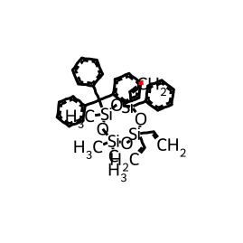 C=C[Si]1(C=C)O[Si](C)(C)O[Si](C)(C(c2ccccc2)(c2ccccc2)c2ccccc2)O[Si](C=C)(c2ccccc2)O1